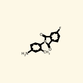 Cc1cc(N)ccc1N1C(=O)c2ccc(F)cc2C1=O